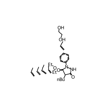 C=CC.C=CC.C=CC.C=CC.C=CC.CCCCC1C(=O)NN(c2ccccc2)C1=O.CCOCC.OCCO